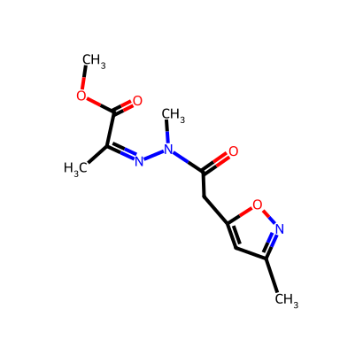 COC(=O)C(C)=NN(C)C(=O)Cc1cc(C)no1